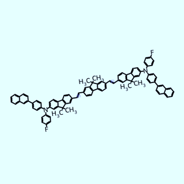 CC1(C)c2cc(/C=C/c3ccc4c(c3)C(C)(C)c3cc(N(c5ccc(F)cc5)c5ccc(-c6ccc7ccccc7c6)cc5)ccc3-4)ccc2-c2ccc(/C=C/c3ccc4c(c3)C(C)(C)c3cc(N(c5ccc(F)cc5)c5ccc(-c6ccc7ccccc7c6)cc5)ccc3-4)cc21